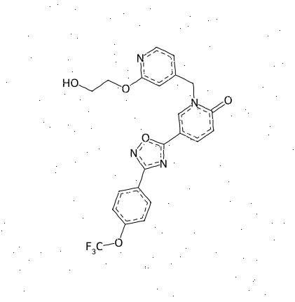 O=c1ccc(-c2nc(-c3ccc(OC(F)(F)F)cc3)no2)cn1Cc1ccnc(OCCO)c1